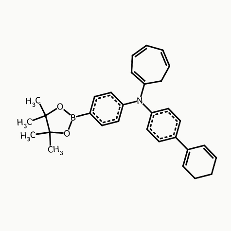 CC1(C)OB(c2ccc(N(C3=CC=CC=CC3)c3ccc(C4=CCCC=C4)cc3)cc2)OC1(C)C